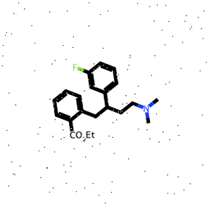 CCOC(=O)c1ccccc1CC(CCN(C)C)c1cccc(F)c1